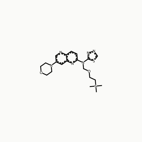 C[Si](C)(C)CCOCN(c1ccc2ncc(N3CCOCC3)cc2n1)c1nncs1